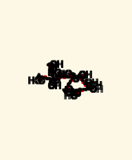 O=C(O)C1(CCCCCCc2cc(O)c(O)c(O)c2CCCCCC2(C(=O)O)CC2Oc2ccc(O)c(CCCCCC3(C(=O)O)CC3Oc3cc(O)cc(CCCCCC4(C(=O)O)CC4)c3CCCCCCC3(C(=O)O)CC3)c2CCCCCCC2(C(=O)O)CC2)CC1